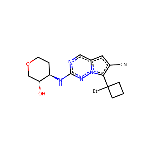 CCC1(c2c(C#N)cc3cnc(N[C@@H]4CCOC[C@H]4O)nn23)CCC1